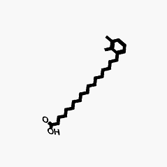 Cc1cccc(CCCCCCCCCCCCCCCCCC(=O)O)c1C